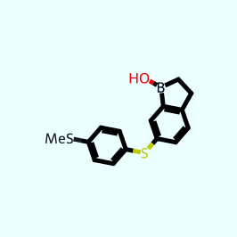 CSc1ccc(Sc2ccc3c(c2)B(O)CC3)cc1